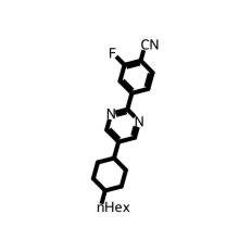 CCCCCCC1CCC(c2cnc(-c3ccc(C#N)c(F)c3)nc2)CC1